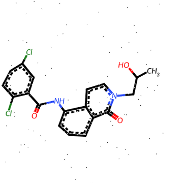 CC(O)Cn1ccc2c(NC(=O)c3cc(Cl)ccc3Cl)cccc2c1=O